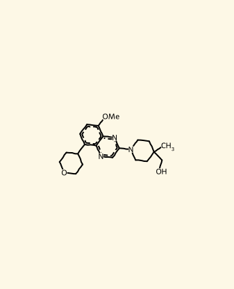 COc1ccc(C2CCOCC2)c2ncc(N3CCC(C)(CO)CC3)nc12